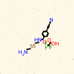 N#CC#Cc1ccc(C(=O)NCCSSCCN)cc1.O=C(O)C(F)(F)F